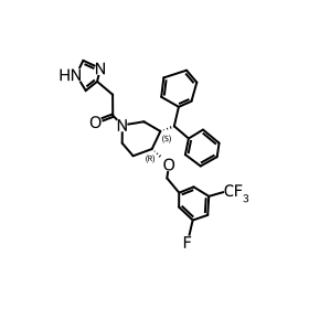 O=C(Cc1c[nH]cn1)N1CC[C@@H](OCc2cc(F)cc(C(F)(F)F)c2)[C@@H](C(c2ccccc2)c2ccccc2)C1